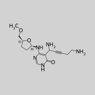 COC[C@@H]1CC[C@H](Nc2nc[nH]c(=O)c2C(N)C#CCCN)O1